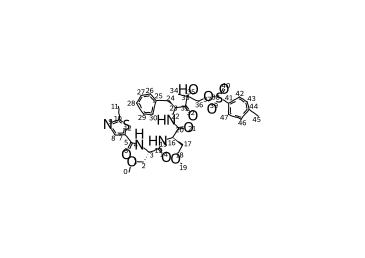 COC[C@H](NC(=O)c1cnc(C)s1)C(=O)N[C@H](COC)C(=O)N[C@@H](Cc1ccccc1)C(=O)C(C)(O)COS(=O)(=O)c1ccc(C)cc1